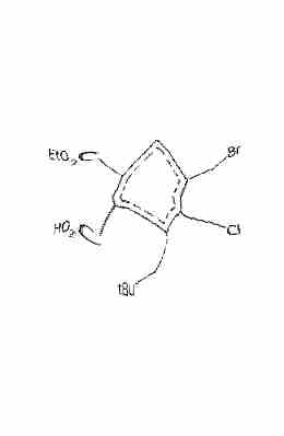 CCOC(=O)c1cc(Br)c(Cl)c(CC(C)(C)C)c1C(=O)O